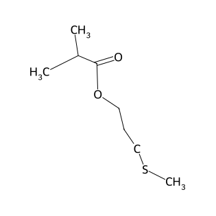 CSCCCOC(=O)C(C)C